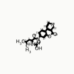 CC(C)CC(NC(=O)O)C(=O)Nc1ccc2c(c1)oc(=O)c1cnccc12